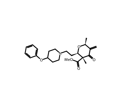 C=C1C(=O)[C@](C)(C(=O)OC)[C@@H](CCN2CCC(Oc3ccccc3)CC2)O[C@H]1C